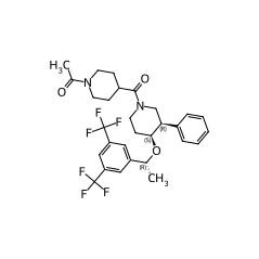 CC(=O)N1CCC(C(=O)N2CC[C@H](O[C@H](C)c3cc(C(F)(F)F)cc(C(F)(F)F)c3)[C@H](c3ccccc3)C2)CC1